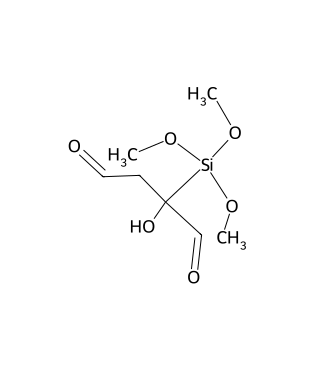 CO[Si](OC)(OC)C(O)(C=O)CC=O